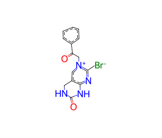 Cc1nc2c(c[n+]1CC(=O)c1ccccc1)CNC(=O)N2.[Br-]